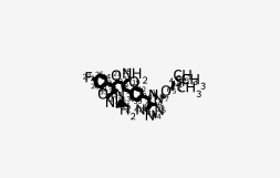 C[Si](C)(C)CCOCn1nc(-c2ccc(-c3c(C(N)=O)c(=O)c(-c4ccc(F)cc4)c(C(N)=O)n3C3CC3)cc2)c2c(N)ncnc21